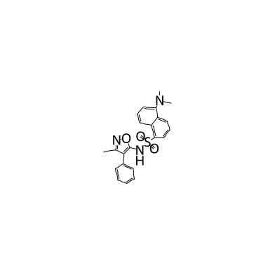 Cc1noc(NS(=O)(=O)c2cccc3c(N(C)C)cccc23)c1-c1ccccc1